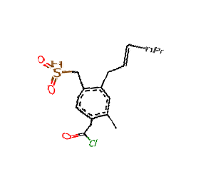 CCCC=CCc1cc(C)c(C(=O)Cl)cc1C[SH](=O)=O